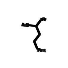 CCCC(C)CCC(CCC)OC(C)=O